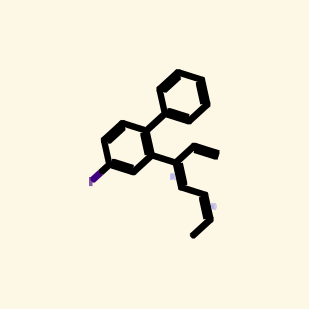 C=C/C(=C\C=C/C)c1cc(I)ccc1-c1ccccc1